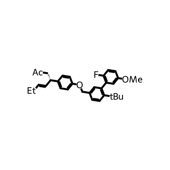 CC/C=C/[C@H](CC(C)=O)c1ccc(OCc2ccc(C(C)(C)C)c(-c3cc(OC)ccc3F)c2)cc1